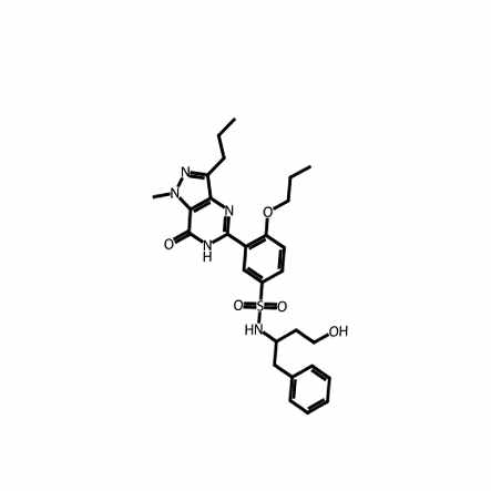 CCCOc1ccc(S(=O)(=O)NC(CCO)Cc2ccccc2)cc1-c1nc2c(CCC)nn(C)c2c(=O)[nH]1